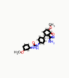 COc1cccc(NC(=O)Nc2ccc(-c3ccc(OC)c4onc(N)c34)cc2)c1